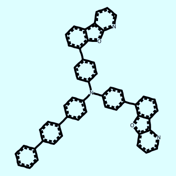 c1ccc(-c2ccc(-c3ccc(N(c4ccc(-c5cccc6c5oc5ncccc56)cc4)c4ccc(-c5cccc6c5oc5cccnc56)cc4)cc3)cc2)cc1